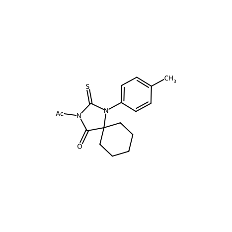 CC(=O)N1C(=O)C2(CCCCC2)N(c2ccc(C)cc2)C1=S